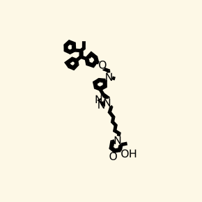 CCC(=C(c1ccccc1)c1ccc(OCCN(C)c2cccc(-c3cn(CCCCCCCn4ccc(=O)c(O)c4C)nn3)c2)cc1)c1ccccc1